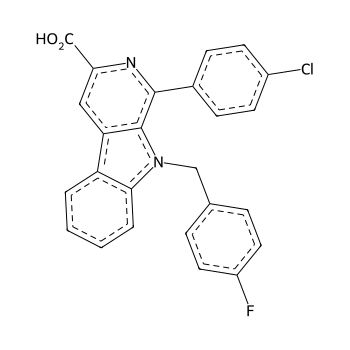 O=C(O)c1cc2c3ccccc3n(Cc3ccc(F)cc3)c2c(-c2ccc(Cl)cc2)n1